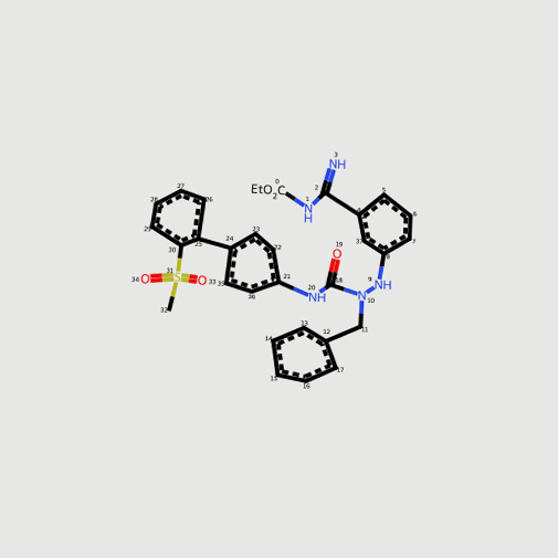 CCOC(=O)NC(=N)c1cccc(NN(Cc2ccccc2)C(=O)Nc2ccc(-c3ccccc3S(C)(=O)=O)cc2)c1